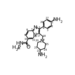 Nc1ccc(-c2nc3ccc(C(=O)NP)cn3c2CN2CCC(N)CC2)cc1